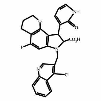 O=C(O)C1C(c2ccc[nH]c2=O)c2c(cc(F)c3c2OCCC3)N1Cc1cnc2ccccc2c1Cl